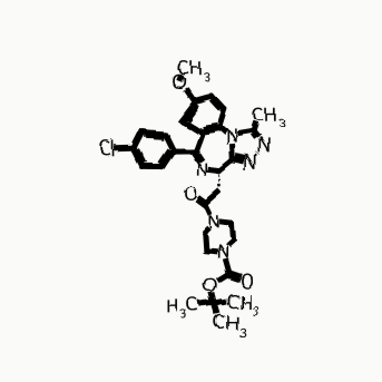 COc1ccc2c(c1)C(c1ccc(Cl)cc1)=N[C@@H](CC(=O)N1CCN(C(=O)OC(C)(C)C)CC1)c1nnc(C)n1-2